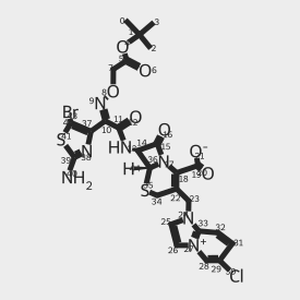 CC(C)(C)OC(=O)CO/N=C(\C(=O)N[C@@H]1C(=O)N2C(C(=O)[O-])=C(Cn3cc[n+]4cc(Cl)ccc34)CS[C@H]12)c1nc(N)sc1Br